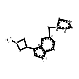 CN1CC(c2c[nH]c3ccc(Cn4cncn4)cc23)C1